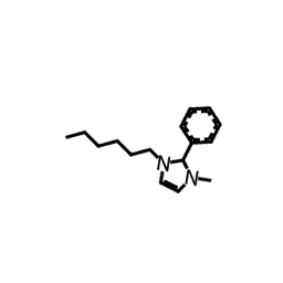 CCCCCCN1C=CN(C)C1c1ccccc1